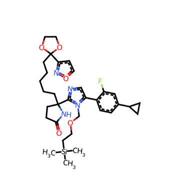 C[Si](C)(C)CCOCn1c(-c2ccc(C3CC3)cc2F)cnc1C1(CCCCCC2(c3ccon3)OCCO2)CCC(=O)N1